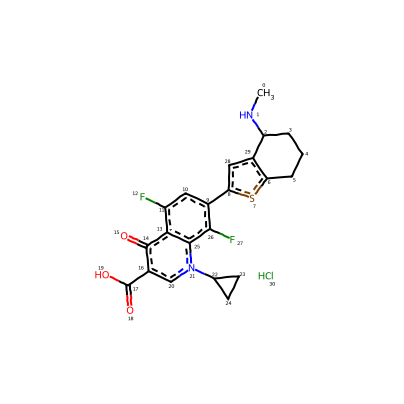 CNC1CCCc2sc(-c3cc(F)c4c(=O)c(C(=O)O)cn(C5CC5)c4c3F)cc21.Cl